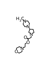 CN1CCN(C2CCN(CC(=O)OCCN3CCOCC3)C2)CC1